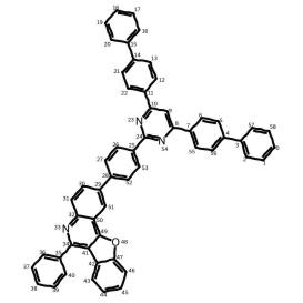 c1ccc(-c2ccc(-c3cc(-c4ccc(-c5ccccc5)cc4)nc(-c4ccc(-c5ccc6nc(-c7ccccc7)c7c8ccccc8oc7c6c5)cc4)n3)cc2)cc1